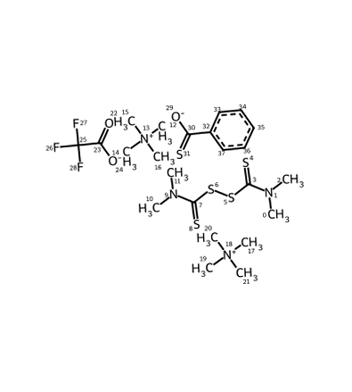 CN(C)C(=S)SSC(=S)N(C)C.C[N+](C)(C)C.C[N+](C)(C)C.O=C([O-])C(F)(F)F.[O-]C(=S)c1ccccc1